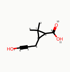 CC1(C)C(CC#CO)C1C(=O)O